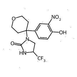 O=C1NC(C(F)(F)F)CN1C1(c2ccc(O)c([N+](=O)[O-])c2)CCOCC1